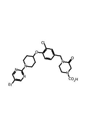 CCc1cnc(N2CCC(Oc3ccc(CN4CCN(C(=O)O)CC4=O)cc3Cl)CC2)nc1